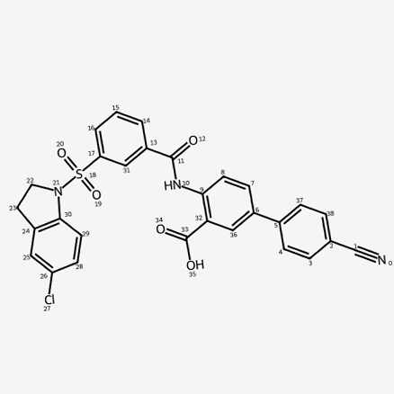 N#Cc1ccc(-c2ccc(NC(=O)c3cccc(S(=O)(=O)N4CCc5cc(Cl)ccc54)c3)c(C(=O)O)c2)cc1